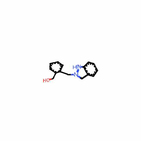 OCc1ccccc1CN1Cc2ccccc2N1